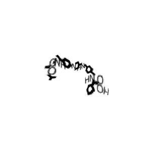 C=C(NOC(C)OCC(C)C)c1ccc(N2CCC(CNCC3CCC(CN[C@H](C(=O)O)C4CCCCC4)CC3)CC2)cc1